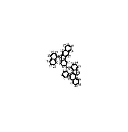 c1ccc(N(c2ccc3c(c2)c2cc4ccccc4cc2n3-c2cccc3ccccc23)c2cccc3oc4c5ccccc5ccc4c23)cc1